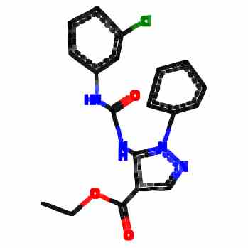 CCOC(=O)c1cnn(-c2ccccc2)c1NC(=O)Nc1cccc(Cl)c1